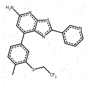 Cc1ccc(-c2cc(N)nc3sc(-c4cccnc4)nc23)cc1SCC(F)(F)F